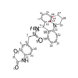 O=C1COc2cc(CC(=O)NC(c3ccccc3)c3ccccc3N3CCCCC3)ccc2N1